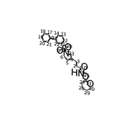 O=C(/C=C/c1ccn(S(=O)(=O)c2cccc(-c3ccccc3)c2)c1)NOC1CCCCO1